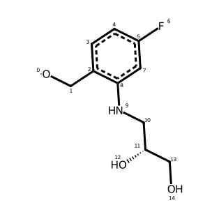 [O]Cc1ccc(F)cc1NC[C@@H](O)CO